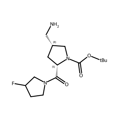 CC(C)(C)OC(=O)N1C[C@@H](CN)C[C@H]1C(=O)N1CCC(F)C1